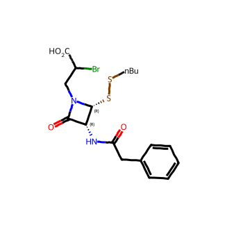 CCCCSS[C@@H]1[C@H](NC(=O)Cc2ccccc2)C(=O)N1CC(Br)C(=O)O